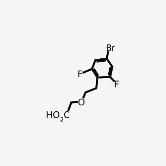 O=C(O)COCCc1c(F)cc(Br)cc1F